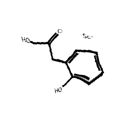 O=C(O)Cc1ccccc1O.[Sc]